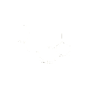 Cn1nc(I)c2cc(NC(=O)OC(C)(C)C)ncc21